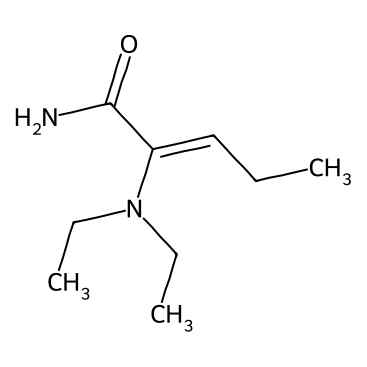 CCC=C(C(N)=O)N(CC)CC